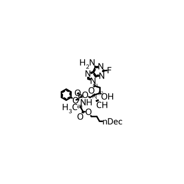 C#C[C@]1(CO[P@](=O)(N[C@@H](C)C(=O)OCCCCCCCCCCCCC)Oc2ccccc2)O[C@@H](n2cnc3c(N)nc(F)nc32)C[C@@H]1O